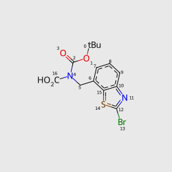 CC(C)(C)OC(=O)N(Cc1cccc2nc(Br)sc12)C(=O)O